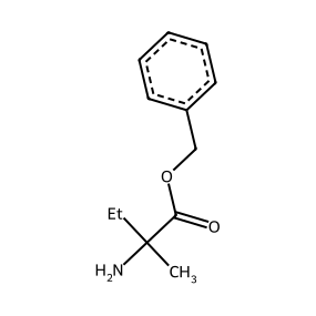 CCC(C)(N)C(=O)OCc1ccccc1